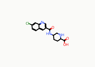 O=C(NC1CCC(C(=O)O)NC1)c1cnc2cc(Cl)ccc2c1